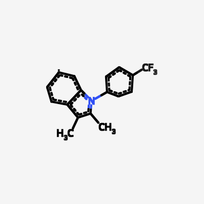 Cc1c(C)n(-c2ccc(C(F)(F)F)cc2)c2c[c]ccc12